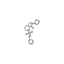 O=C1N(c2ccccc2)CCC12CCCN(S(=O)(=O)/C=C/c1ccccc1)C2